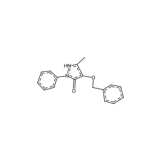 Cc1[nH]n(-c2ccccc2)c(=O)c1OCc1ccccc1